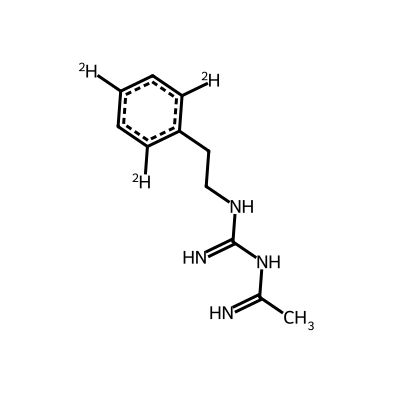 [2H]c1cc([2H])c(CCNC(=N)NC(C)=N)c([2H])c1